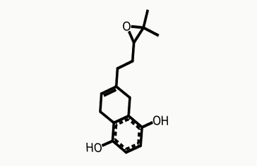 CC1(C)OC1CCC1=CCc2c(O)ccc(O)c2C1